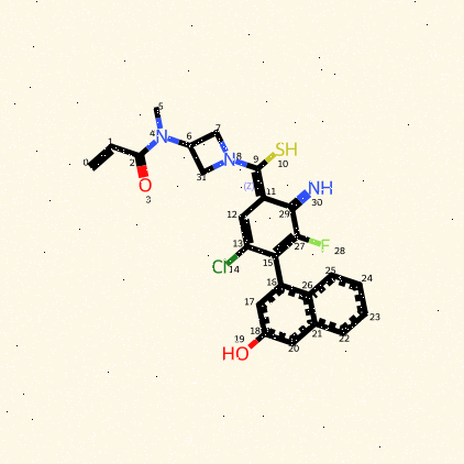 C=CC(=O)N(C)C1CN(/C(S)=C2\C=C(Cl)C(c3cc(O)cc4ccccc34)=C(F)C2=N)C1